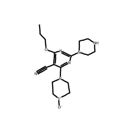 CCCOc1nc(N2CCNCC2)nc(N2CC[S+]([O-])CC2)c1C#N